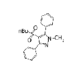 CCCCS(=O)(=O)c1c(-c2ccccc2)nn(C)c1-c1ccccc1